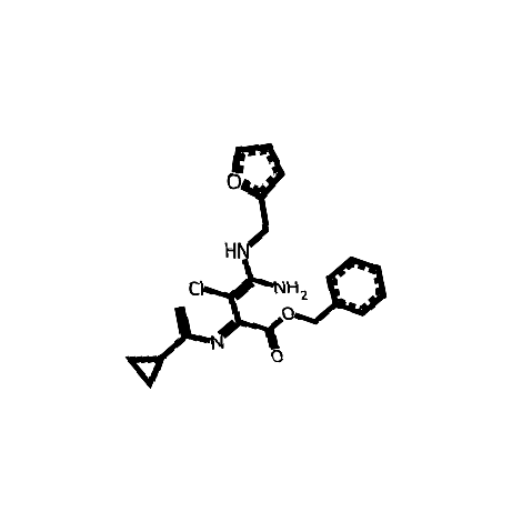 C=C(/N=C(C(=O)OCc1ccccc1)\C(Cl)=C(/N)NCc1ccco1)C1CC1